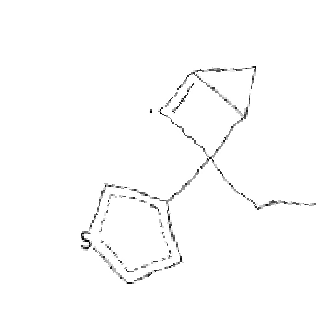 CCC1(c2ccsc2)[C]=C2CC21